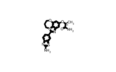 C[C@H](Oc1cc2c3c(c1)nc(-c1ccc4nc(N)sc4c1)n3CCCO2)C(N)=O